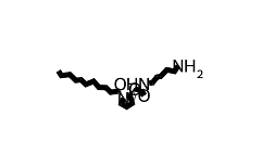 CCCCCCCCCCC(=O)N1CCC[C@@H]1OC(=O)NCCCCCN